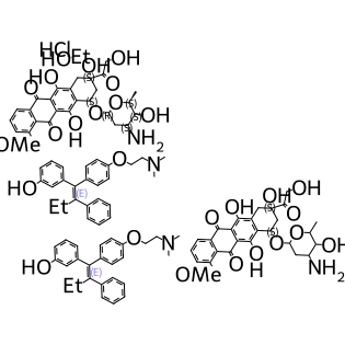 CC/C(=C(/c1ccc(OCCN(C)C)cc1)c1cccc(O)c1)c1ccccc1.CC/C(=C(/c1ccc(OCCN(C)C)cc1)c1cccc(O)c1)c1ccccc1.CCO.COc1cccc2c1C(=O)c1c(O)c3c(c(O)c1C2=O)C[C@@](O)(C(=O)CO)C[C@@H]3OC1CC(N)C(O)C(C)O1.COc1cccc2c1C(=O)c1c(O)c3c(c(O)c1C2=O)C[C@@](O)(C(=O)CO)C[C@@H]3O[C@H]1C[C@H](N)[C@H](O)[C@H](C)O1.Cl